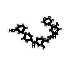 Cc1cc(Nc2ccc(-c3cccc(O)c3)cc2)ccc1/C=N/Nc1ncc(F)c(N2CCOCC2)n1